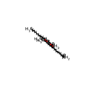 C=C.CCCCCCCCCCCCCCCCCCCCCC(N)=O.CCCCCCCCCCCCCCCCCCCCCC(N)=O